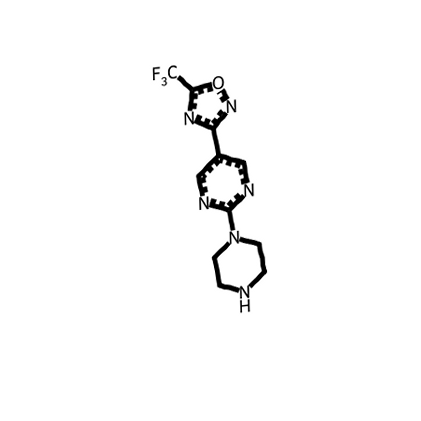 FC(F)(F)c1nc(-c2cnc(N3CCNCC3)nc2)no1